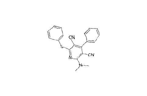 CN(C)c1nc(Sc2ccccc2)c(C#N)c(-c2ccccc2)c1C#N